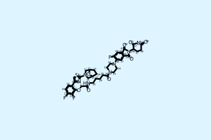 O=C(COc1c(-c2csc(N3CC4CCC(C3)O4)n2)ccc(F)c1F)NCCCCC(=O)N1CCN(c2cc3c(cc2F)C(=O)N(C2CCC(=O)NC2=O)C3=O)CC1